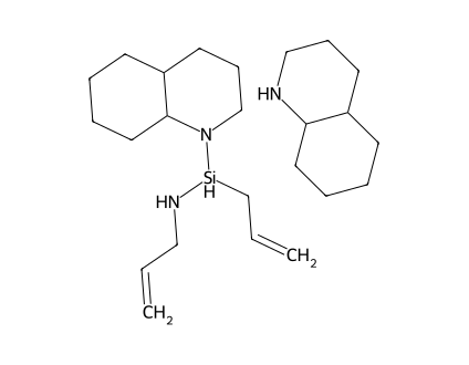 C1CCC2NCCCC2C1.C=CCN[SiH](CC=C)N1CCCC2CCCCC21